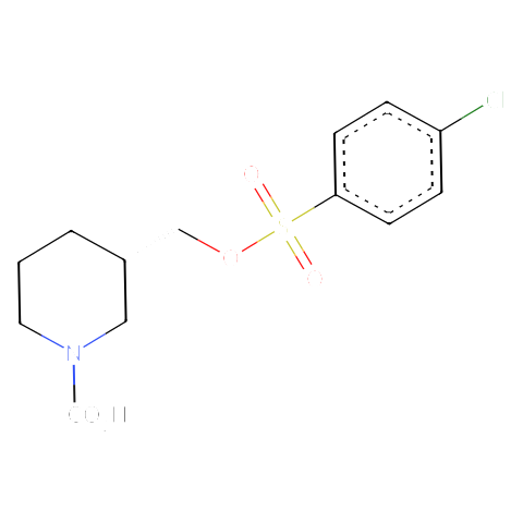 O=C(O)N1CCC[C@H](COS(=O)(=O)c2ccc(Cl)cc2)C1